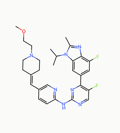 COCCN1CCC(=Cc2ccc(Nc3ncc(F)c(-c4cc(F)c5nc(C)n(C(C)C)c5c4)n3)nc2)CC1